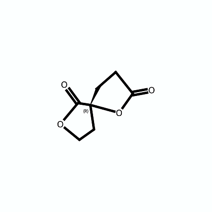 O=C1CC[C@]2(CCOC2=O)O1